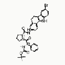 CC(C)(C)OC(=O)N[C@H](C(=O)N1CCC[C@H]1C(=O)Nc1ccc2c(c1)CCc1c-2[nH]c2ccc(Br)cc12)c1ccccc1